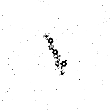 Cc1ccc(COCC(F)(F)F)c(N2C(=O)CS/C2=N\C(=O)Nc2ccc(-c3ncn(-c4cccc(OC(F)(F)F)c4)n3)cc2F)c1